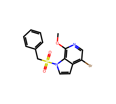 COc1ncc(Br)c2ccn(S(=O)(=O)Cc3ccccc3)c12